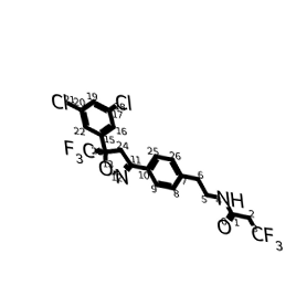 O=C(CC(F)(F)F)NCCc1ccc(C2=NOC(c3cc(Cl)cc(Cl)c3)(C(F)(F)F)C2)cc1